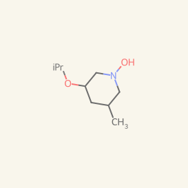 CC1CC(OC(C)C)CN(O)C1